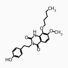 CCCCCOc1c(OC)ccc2c(=O)n(CCc3ccc(O)cc3)c(=O)[nH]c12